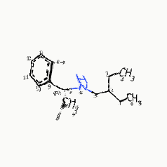 CCC(CC)CN[C@H](C)c1ccccc1